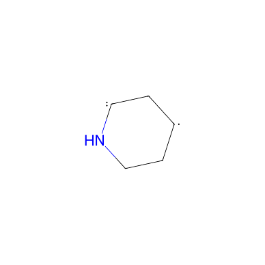 [C]1C[CH]CCN1